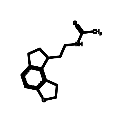 CC(=O)NCCC1CCc2ccc3c(c21)CCO3